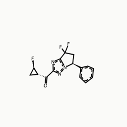 O=C(c1nc2n(n1)[C@H](c1ccccc1)CC2(F)F)[C@@H]1C[C@H]1F